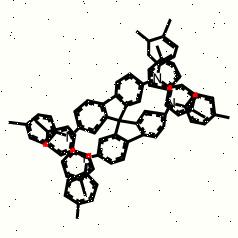 CC1=CC=C(N(c2ccc(C)cc2)c2ccc3c(c2)C2(c4cc(N(c5ccc(C)cc5)c5ccc(C)cc5)ccc4-3)c3cc(N(c4ccc(C)cc4)c4ccc(C)cc4)ccc3-c3ccc(N(c4ccc(C)cc4)c4ccc(C)cc4)cc32)CC1C